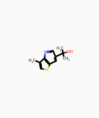 Cc1csc2cc(C(C)(C)O)cnc12